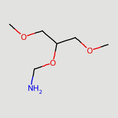 COCC(COC)OCN